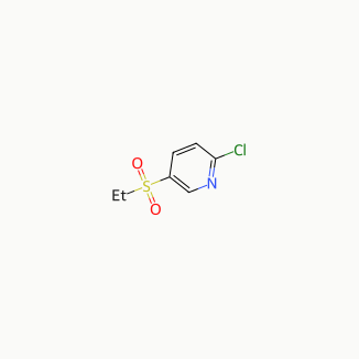 CCS(=O)(=O)c1ccc(Cl)nc1